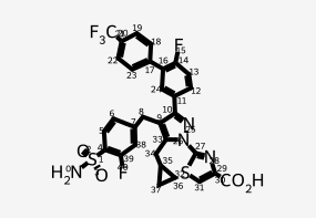 NS(=O)(=O)c1ccc(Cc2c(-c3ccc(F)c(-c4ccc(C(F)(F)F)cc4)c3)nn(-c3nc(C(=O)O)cs3)c2CC2CC2)cc1F